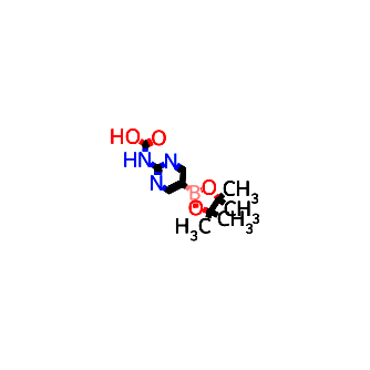 CC1(C)OB(c2cnc(NC(=O)O)nc2)OC1(C)C